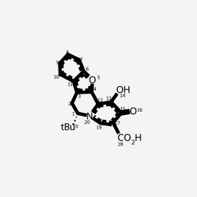 CC(C)(C)[C@@H]1Cc2c(oc3ccccc23)-c2c(O)c(=O)c(C(=O)O)cn21